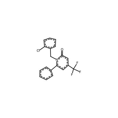 O=c1cc(C(F)(F)F)cc(-c2ccccc2)n1Cc1ccccc1Cl